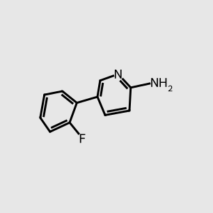 Nc1ccc(-c2ccccc2F)cn1